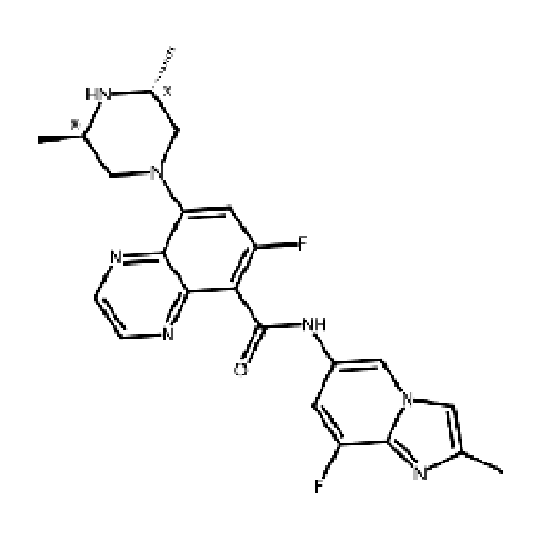 Cc1cn2cc(NC(=O)c3c(F)cc(N4C[C@@H](C)N[C@H](C)C4)c4nccnc34)cc(F)c2n1